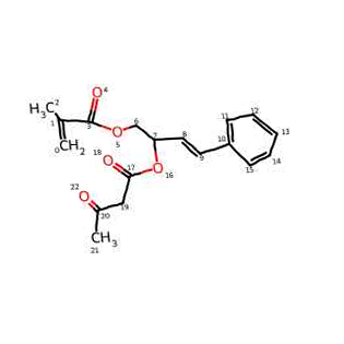 C=C(C)C(=O)OCC(C=Cc1ccccc1)OC(=O)CC(C)=O